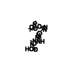 Cc1nc(Nc2cc3cc(-c4c(OC[C@H]5CCN5C(=O)OC(C)(C)C)cnn4C)ccn3n2)cc(C(=O)O)n1